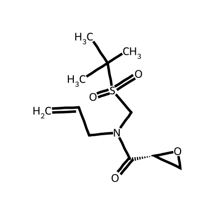 C=CCN(CS(=O)(=O)C(C)(C)C)C(=O)[C@H]1CO1